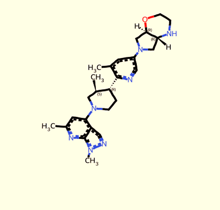 Cc1cc(N2CC[C@@H](c3ncc(N4C[C@H]5NCCO[C@@H]5C4)cc3C)[C@H](C)C2)c2cnn(C)c2n1